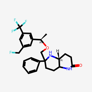 C[C@@H](OCC1(c2ccccc2)CCC2NC(=O)CC[C@H]2N1)c1cc(CF)cc(C(F)(F)F)c1